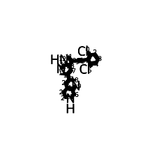 Clc1cccc(Cl)c1C#Cc1c[nH]c2ncc(-c3cnc4c(c3)CCNC4)cc12